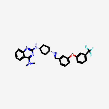 CN(C)c1nc(N[C@H]2CC[C@@H](NCc3cccc(Oc4cccc(C(F)(F)F)c4)c3)CC2)nc2ccccc12